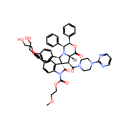 COCCOC(=O)N1C(=O)[C@@]2(c3cc(C#CCCO)ccc31)[C@H](C(=O)N1CCN(c3ncccn3)CC1)[C@H]1C(=O)O[C@H](c3ccccc3)[C@H](c3ccccc3)N1[C@@H]2c1ccc(OCCO)cc1